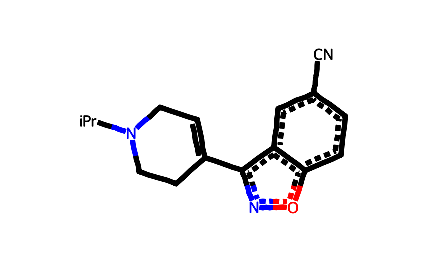 CC(C)N1CC=C(c2noc3ccc(C#N)cc23)CC1